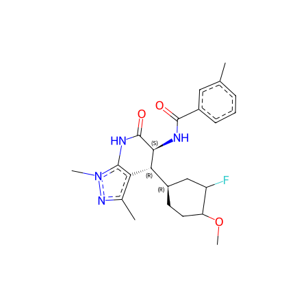 COC1CC[C@@H]([C@@H]2c3c(C)nn(C)c3NC(=O)[C@H]2NC(=O)c2cccc(C)c2)CC1F